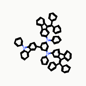 c1ccc(C(=C2c3ccccc3-c3ccc(N(c4ccccc4)c4cc(-c5ccc6c(c5)c5ccccc5n6-c5ccccc5)cc(N(c5ccccc5)c5ccc6c(c5)C(=C(c5ccccc5)c5ccccc5)c5ccccc5-6)c4)cc32)c2ccccc2)cc1